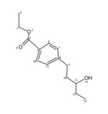 CCOC(=O)c1ccc(CCC(O)CC)cc1